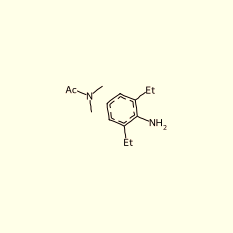 CC(=O)N(C)C.CCc1cccc(CC)c1N